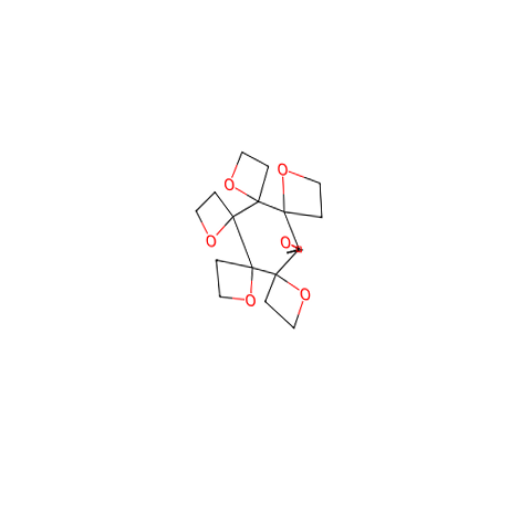 C1CC2(O1)C1(CCO1)C1(CCO1)C1(CCO1)C1(CCO1)C21CCO1